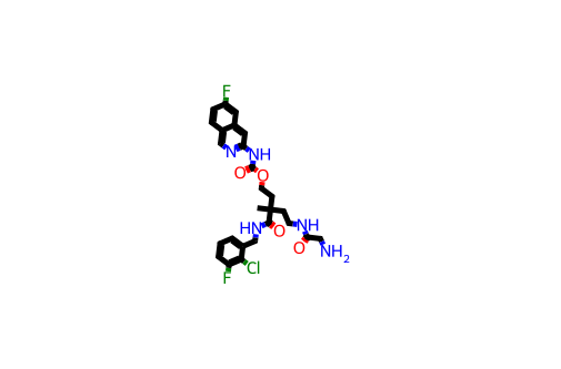 CC(CCNC(=O)CN)(CCOC(=O)Nc1cc2cc(F)ccc2cn1)C(=O)NCc1cccc(F)c1Cl